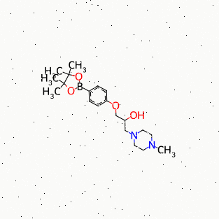 CN1CCN(CC(O)COc2ccc(B3OC(C)(C)C(C)(C)O3)cc2)CC1